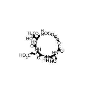 CC(O)C1NC(=O)N[C@@H](CCC(=O)O)C(=O)NNC(=O)[C@H](CO)NC(=O)COCCOCCNC1=O